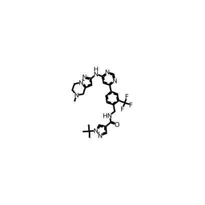 CN1CCn2nc(Nc3cc(-c4ccc(CNC(=O)c5cnn(C(C)(C)C)c5)c(C(F)(F)F)c4)ncn3)cc2C1